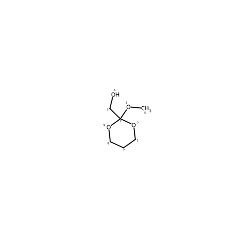 COC1(CO)OCCCO1